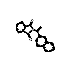 C=C(c1ccc2ccccc2c1)N1C(=O)c2ccccc2C1=O